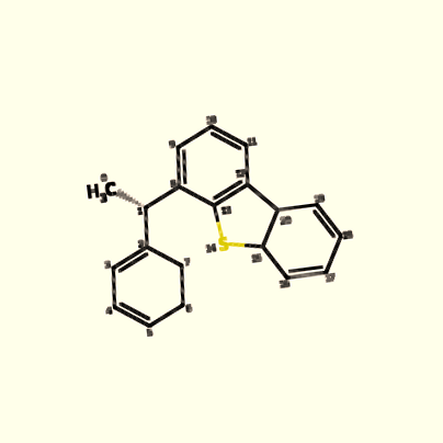 C[C@@H](C1=CC=CCC1)c1cccc2c1SC1C=CC=CC21